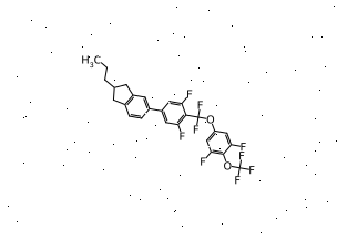 CCCC1Cc2ccc(-c3cc(F)c(C(F)(F)Oc4cc(F)c(OC(F)(F)F)c(F)c4)c(F)c3)cc2C1